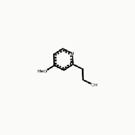 COc1ccnc(CCO)c1